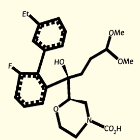 CCc1cccc(-c2c(F)cccc2[C@](O)(CCC(OC)OC)[C@H]2CN(C(=O)O)CCO2)c1